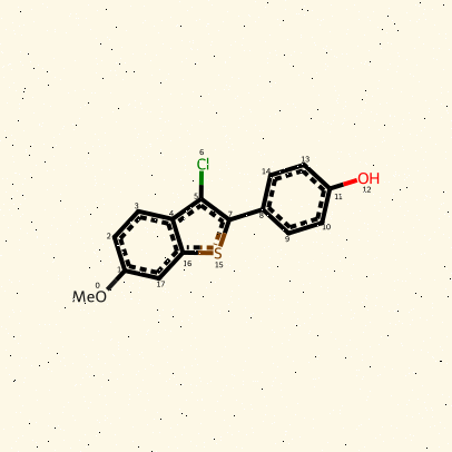 COc1ccc2c(Cl)c(-c3ccc(O)cc3)sc2c1